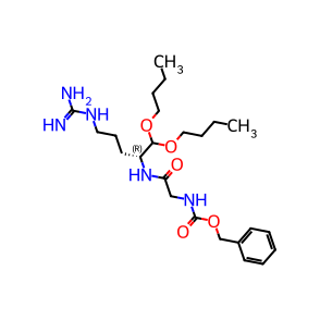 CCCCOC(OCCCC)[C@@H](CCCNC(=N)N)NC(=O)CNC(=O)OCc1ccccc1